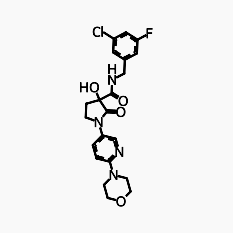 O=C(NCc1cc(F)cc(Cl)c1)C1(O)CCN(c2ccc(N3CCOCC3)nc2)C1=O